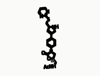 CC(=O)NC[C@H]1CN(c2ccc(C3=CC(CSc4ncccn4)NC3)cc2)C(=O)O1